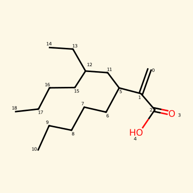 C=C(C(=O)O)C(CCCCC)CC(CC)CCCC